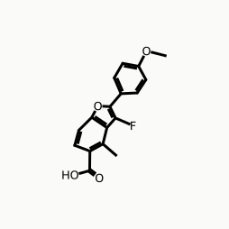 COc1ccc(-c2oc3ccc(C(=O)O)c(C)c3c2F)cc1